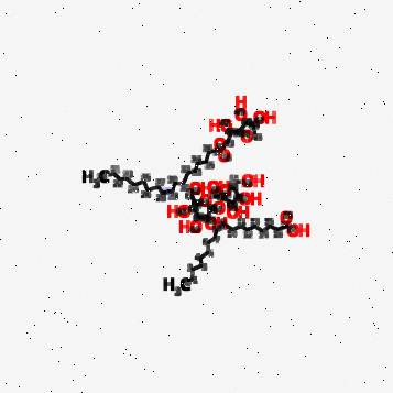 CCCCCCCC/C=C\CCCCCCCC(=O)O.CCCCCCCC/C=C\CCCCCCCC(=O)OC[C@@H](O)[C@H]1OC[C@H](O)[C@H]1O.OC[C@H]1O[C@@](CO)(O[C@H]2O[C@H](CO)[C@@H](O)[C@H](O)[C@H]2O)[C@@H](O)[C@@H]1O